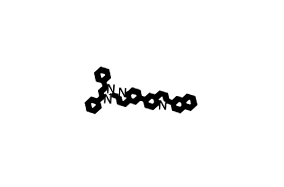 c1ccc(-c2cc(-c3ccccc3)nc(-c3ccc4cc(-c5ccc6nc(-c7ccc8ccccc8c7)ccc6c5)ccc4n3)n2)cc1